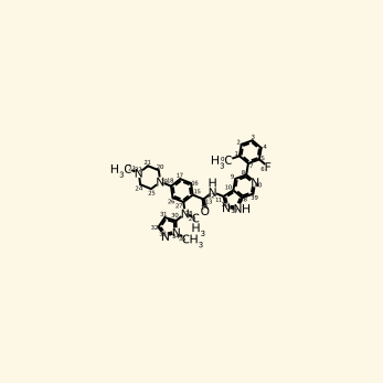 Cc1cccc(F)c1-c1cc2c(NC(=O)c3ccc(N4CCN(C)CC4)cc3N(C)c3ccnn3C)n[nH]c2cn1